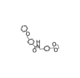 O=C(NCc1ccc(C2OCCO2)cc1)c1ccc(COc2ccccc2)cc1